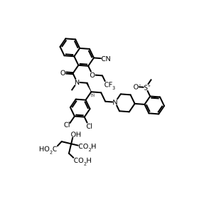 CN(C[C@@H](CCN1CCC(c2ccccc2[S+](C)[O-])CC1)c1ccc(Cl)c(Cl)c1)C(=O)c1c(OCC(F)(F)F)c(C#N)cc2ccccc12.O=C(O)CC(O)(CC(=O)O)C(=O)O